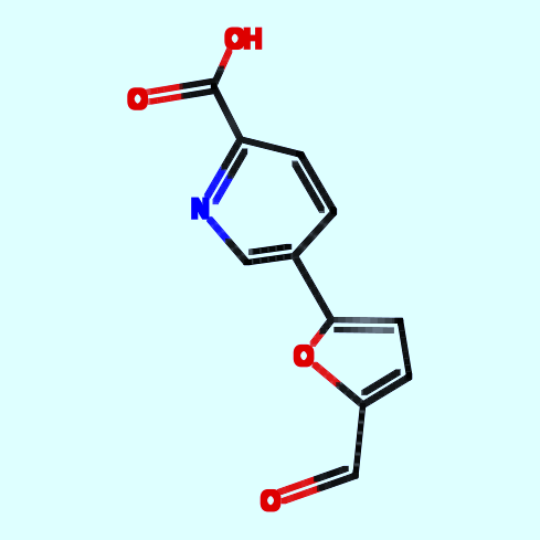 O=Cc1ccc(-c2ccc(C(=O)O)nc2)o1